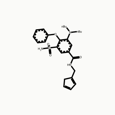 CCCCN(CCCC)c1cc(C(=O)NCC2=CC=CC2)cc(S(N)(=O)=O)c1Oc1ccccc1